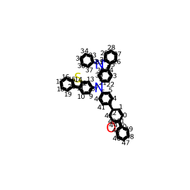 C1=CC(c2ccc(N(c3ccc4c(c3)sc3ccccc34)c3ccc4c5ccccc5n(-c5ccccc5)c4c3)cc2)Cc2oc3ccccc3c21